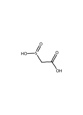 O=C(O)CS(=O)O